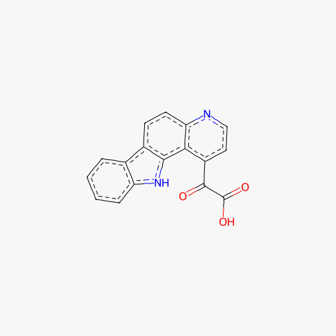 O=C(O)C(=O)c1ccnc2ccc3c4ccccc4[nH]c3c12